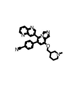 CN1CCCC(COc2cc(-c3ccc(C#N)cc3)c(-c3cnc4cccnc4c3)n3cncc23)C1